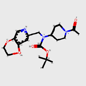 CC(=O)N1CCC(N(Cc2cc3c(cn2)OCCO3)C(=O)OC(C)(C)C)CC1